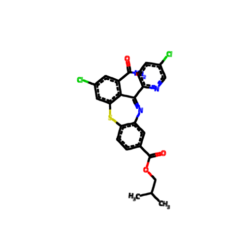 CC(C)COC(=O)c1ccc2c(c1)N=C(c1ccc(Cl)cn1)c1c(cc(Cl)cc1C(N)=O)S2